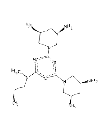 C=CCN(C)c1nc(N2C[C@H](N)C[C@H](N)C2)nc(N2C[C@H](N)C[C@H](N)C2)n1